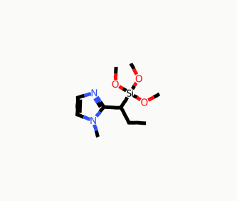 CCC(c1nccn1C)[Si](OC)(OC)OC